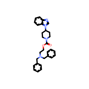 O=C(OCCN(Cc1ccccc1)Cc1ccccc1)N1CCC(n2cnc3ccccc32)CC1